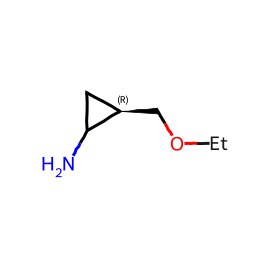 CCOC[C@@H]1CC1N